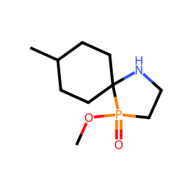 COP1(=O)CCNC12CCC(C)CC2